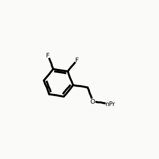 [CH2]CCOCc1cccc(F)c1F